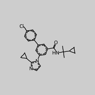 CC(C)(NC(=O)c1cc(-c2ccc(Cl)cc2)cc(-n2ccnc2C2CC2)c1)C1CC1